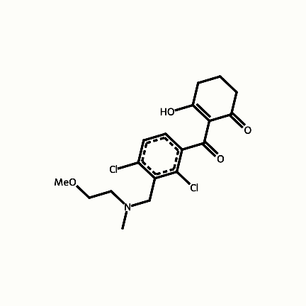 COCCN(C)Cc1c(Cl)ccc(C(=O)C2=C(O)CCCC2=O)c1Cl